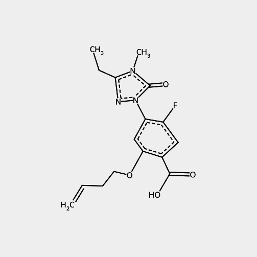 C=CCCOc1cc(-n2nc(CC)n(C)c2=O)c(F)cc1C(=O)O